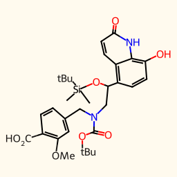 COc1cc(CN(CC(O[Si](C)(C)C(C)(C)C)c2ccc(O)c3[nH]c(=O)ccc23)C(=O)OC(C)(C)C)ccc1C(=O)O